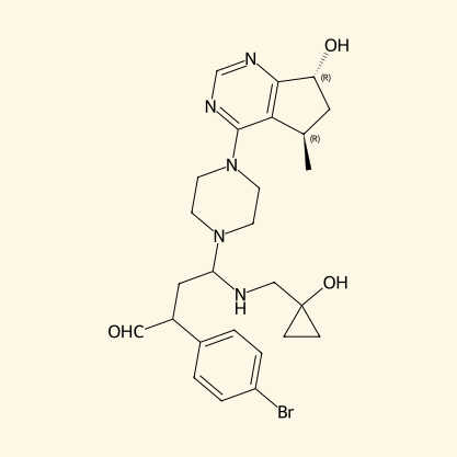 C[C@@H]1C[C@@H](O)c2ncnc(N3CCN(C(CC(C=O)c4ccc(Br)cc4)NCC4(O)CC4)CC3)c21